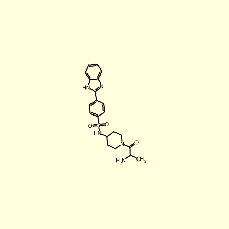 CC(N)C(=O)N1CCC(NS(=O)(=O)c2ccc(-c3nc4ccccc4[nH]3)cc2)CC1